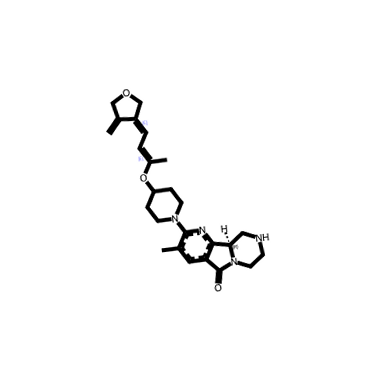 C=C1COC/C1=C/C=C(\C)OC1CCN(c2nc3c(cc2C)C(=O)N2CCNC[C@H]32)CC1